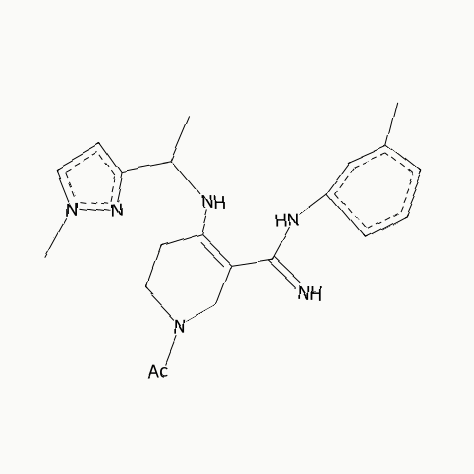 CC(=O)N1CCC(NC(C)c2ccn(C)n2)=C(C(=N)Nc2cccc(C)c2)C1